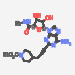 CCNC(=O)[C@H]1O[C@@H](n2cnc3c(N)nc(C#CCC4CCN(C(=O)OCC)CC4)nc32)C(O)C1O